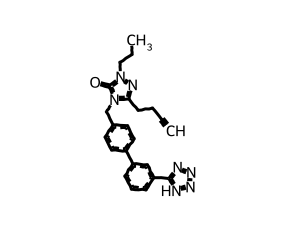 C#CCCc1nn(CCC)c(=O)n1Cc1ccc(-c2cccc(-c3nnn[nH]3)c2)cc1